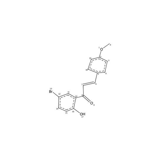 COc1ccc(/C=C/C(=O)c2cc(Br)ccc2O)cc1